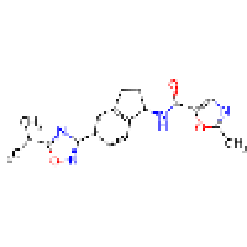 Cc1ncc(C(=O)N[C@@H]2CCc3cc(-c4noc(C(C)C)n4)ccc32)o1